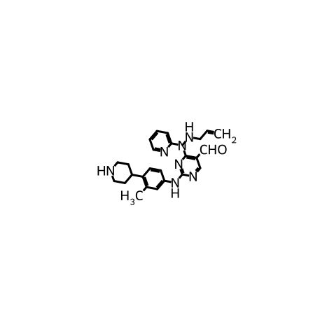 C=CCNN(c1ccccn1)c1nc(Nc2ccc(C3CCNCC3)c(C)c2)ncc1C=O